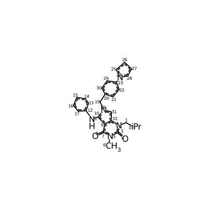 CC(C)Cn1c(=O)n(C)c(=O)c2c(Nc3ccccc3)n(Cc3ccc(-n4cccc4)cc3)cc21